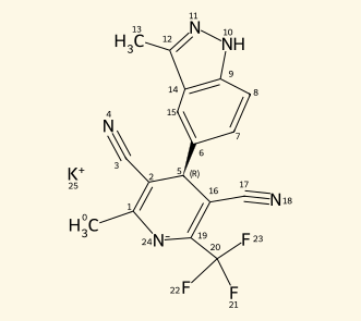 CC1=C(C#N)[C@@H](c2ccc3[nH]nc(C)c3c2)C(C#N)=C(C(F)(F)F)[N-]1.[K+]